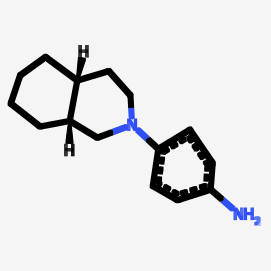 Nc1ccc(N2CC[C@H]3CCCC[C@H]3C2)cc1